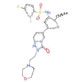 COc1ncc(-c2ccc3nn(CCN4CCOCC4)c(=O)n3c2)cc1NS(=O)(=O)c1ccc(F)cc1F